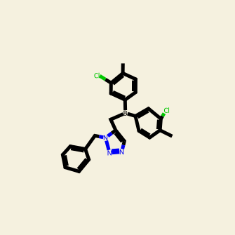 Cc1ccc(B(Cc2cnnn2Cc2ccccc2)c2ccc(C)c(Cl)c2)cc1Cl